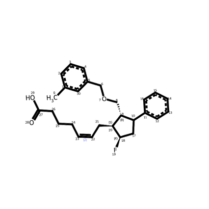 Cc1cccc(COC[C@@H]2C(c3ccccc3)C[C@@H](F)[C@H]2C/C=C\CCCC(=O)O)c1